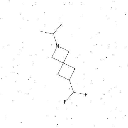 CC(C)N1CC2(CC(C(F)F)C2)C1